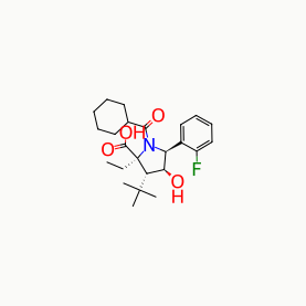 CC[C@@]1(C(=O)O)[C@@H](C(C)(C)C)[C@H](O)[C@H](c2ccccc2F)N1C(=O)C1CCCCC1